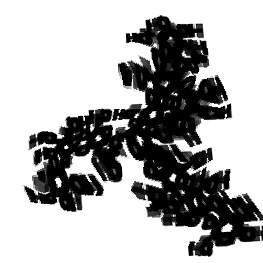 CC(=O)N[C@H]1[C@@H](O[C@H]2[C@@H](O)[C@@H](CO)O[C@@H](O[C@H]3[C@H](O)[C@@H](CO)O[C@@H](O[C@H]4[C@@H](O)[C@@H](CO[C@@H]5O[C@H](CO)[C@@H](O)[C@H](O[C@@H]6O[C@H](CO)[C@H](O)[C@H](O)[C@H]6O[C@@H]6O[C@@H](C)[C@@H](O)[C@@H](O)[C@@H]6O)[C@H]5NC(C)=O)O[C@@H](O[C@H]5[C@H](O)[C@@H](CO)O[C@@H](O[C@H]6[C@@H](O)[C@@H](CO)O[C@@H](O[C@H]7[C@H](O)[C@@H](O)[C@H](O)O[C@@H]7CO)[C@@H]6O)[C@@H]5NC(C)=O)[C@@H]4O)[C@@H]3NC(C)=O)[C@@H]2O[C@@H]2O[C@@H](C)[C@@H](O)[C@@H](O)[C@@H]2O)O[C@H](CO)[C@H](O)[C@@H]1O